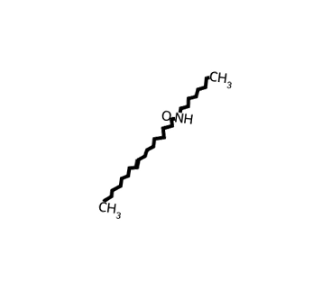 CCCCCCCCC=CCCCCCCCC(=O)NCCCCCCCC